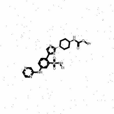 CCNS(=O)(=O)c1cc(Nc2cnccn2)ccc1-c1cnc([C@H]2CC[C@H](NC(=O)OC(C)C)CC2)s1